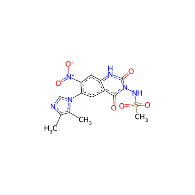 Cc1ncn(-c2cc3c(=O)n(NS(C)(=O)=O)c(=O)[nH]c3cc2[N+](=O)[O-])c1C